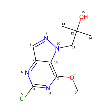 COc1nc(Cl)nc2cnn(CC(C)(C)O)c12